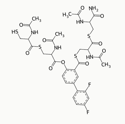 CC(=O)NC(CSC(=O)C(CSC(=O)c1cc(-c2ccc(F)cc2F)ccc1OC(=O)C(CSC(=O)C(CS)NC(C)=O)NC(C)=O)NC(C)=O)C(N)=O